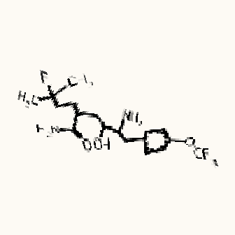 CC(C)(F)CCC(CC(O)C(N)Cc1ccc(OC(F)(F)F)cc1)C(N)=O